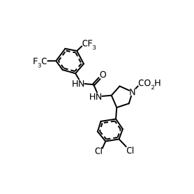 O=C(Nc1cc(C(F)(F)F)cc(C(F)(F)F)c1)NC1CN(C(=O)O)CC1c1ccc(Cl)c(Cl)c1